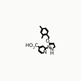 Cc1ccc(COC2=CCNN2c2cc(C(=O)O)ccn2)c(C)c1